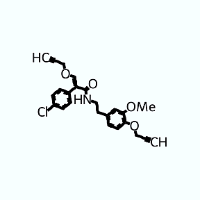 C#CCOC=C(C(=O)NCCc1ccc(OCC#C)c(OC)c1)c1ccc(Cl)cc1